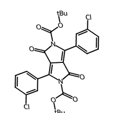 CC(C)(C)OC(=O)N1C(=O)C2=C(c3cccc(Cl)c3)N(C(=O)OC(C)(C)C)C(=O)C2=C1c1cccc(Cl)c1